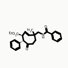 CCOC(=O)[C@H]1/C=C/C(C)(CNC(=O)c2ccccc2)CCC(=O)[C@@H]1c1ccccc1